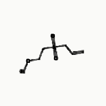 C=CCS(=O)(=O)CCO[CH]C